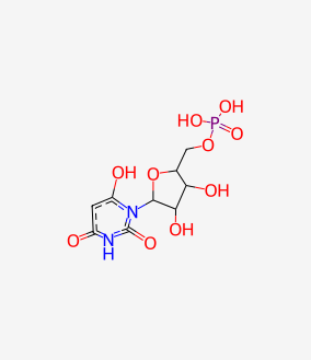 O=c1cc(O)n(C2OC(COP(=O)(O)O)C(O)C2O)c(=O)[nH]1